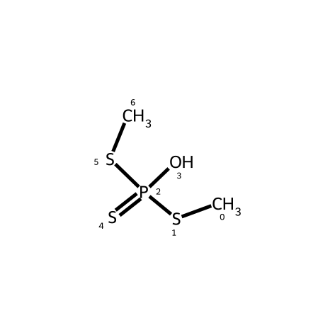 CSP(O)(=S)SC